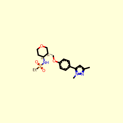 CCS(=O)(=O)N[C@H]1CCOC[C@@H]1COc1ccc(-c2cc(C)nn2C)cc1